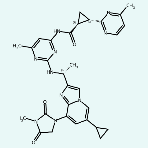 Cc1cc(NC(=O)[C@H]2C[C@@H]2c2nccc(C)n2)nc(N[C@H](C)c2cn3cc(C4CC4)cc(N4CC(=O)N(C)C4=O)c3n2)n1